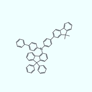 CC1(C)c2ccccc2-c2ccc(-c3ccc(N(c4ccc(-c5ccccc5)cc4)c4cccc5c4-c4ccccc4C5(c4ccccc4)c4ccccc4)cc3)cc21